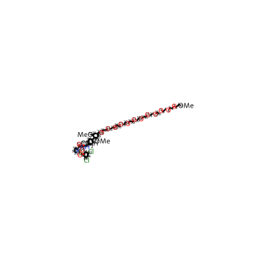 COCCOCCOCCOCCOCCOCCOCCOCCOCCOCCOCCOCCOCc1cc(OC)c(-c2ccc(C[C@H](NC(=O)[C@@H]3CCCN3S(=O)(=O)c3cc(Cl)cc(Cl)c3)C(=O)O)cc2)c(OC)c1